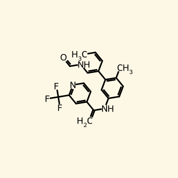 C=C(Nc1ccc(C)c(C(/C=C\C)=C/NC=O)c1)c1ccnc(C(F)(F)F)c1